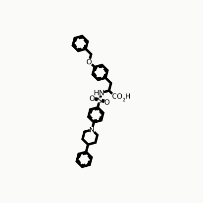 O=C(O)C(Cc1ccc(OCc2ccccc2)cc1)NS(=O)(=O)c1ccc(N2CCC(c3ccccc3)CC2)cc1